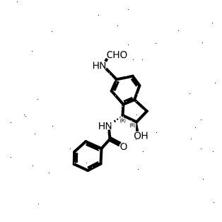 O=CNc1ccc2c(c1)[C@@H](NC(=O)c1ccccc1)[C@H](O)C2